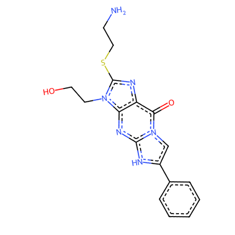 NCCSc1nc2c(=O)n3cc(-c4ccccc4)[nH]c3nc2n1CCO